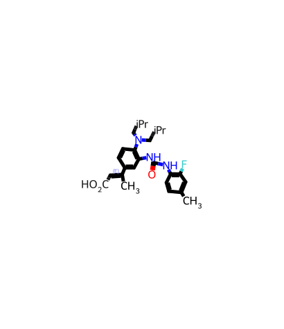 C/C(=C\C(=O)O)c1ccc(N(CC(C)C)CC(C)C)c(NC(=O)Nc2ccc(C)cc2F)c1